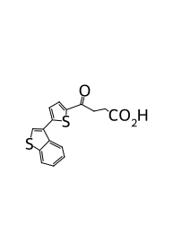 O=C(O)CCC(=O)c1ccc(-c2csc3ccccc23)s1